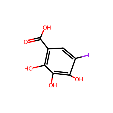 O=C(O)c1cc(I)c(O)c(O)c1O